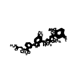 COc1ccc(F)cc1C(C)(C)CC(O)(CNc1cc(C)cc2c1cnn2-c1cccc(C(=O)N(C)CC(N)=O)c1)C(F)(F)F